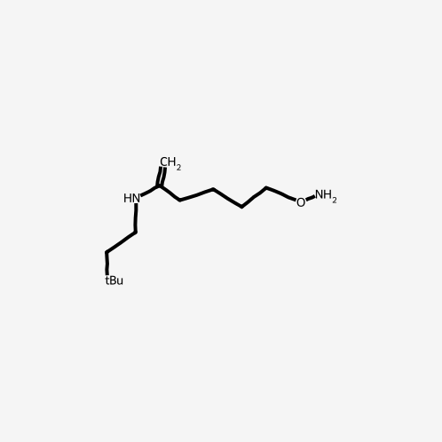 C=C(CCCCON)NCCC(C)(C)C